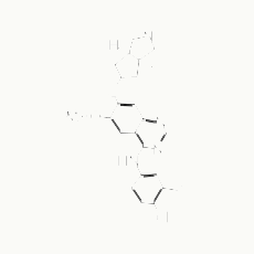 COc1cc2c(Nc3ccc(Cl)c(Cl)c3)ncnc2cc1OC1C[C@H]2CNC[C@H]2C1